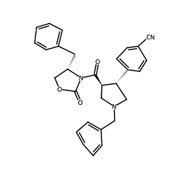 N#Cc1ccc([C@@H]2CN(Cc3ccccc3)C[C@H]2C(=O)N2C(=O)OC[C@@H]2Cc2ccccc2)cc1